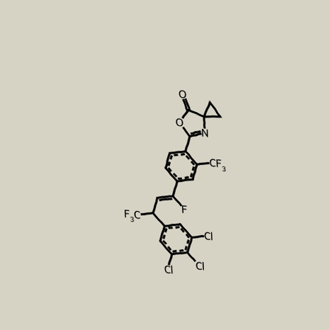 O=C1OC(c2ccc(/C(F)=C/C(c3cc(Cl)c(Cl)c(Cl)c3)C(F)(F)F)cc2C(F)(F)F)=NC12CC2